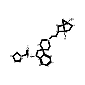 O=C(N[C@H]1CC2(CCN(CCC3CC45C[C@H]4CC[C@@H]35)CC2)c2ccccc21)N1CCCC1